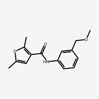 COCc1cccc(NC(=O)c2cc(C)oc2C)c1